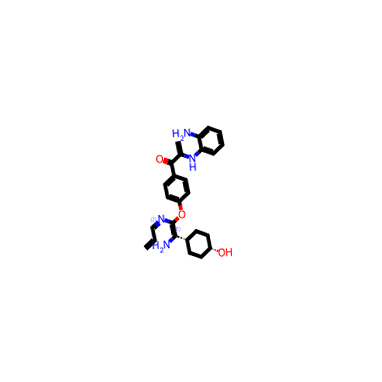 C=C/C=N\C(Oc1ccc(C(=O)C(=C)Nc2ccccc2N)cc1)=C(/N)[C@H]1CC[C@@H](O)CC1